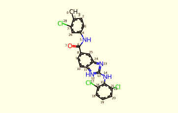 Cc1ccc(NC(=O)c2ccc3[nH]c(Nc4c(Cl)cccc4Cl)nc3c2)cc1Cl